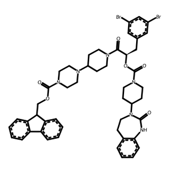 O=C(OCC1c2ccccc2-c2ccccc21)N1CCN(C2CCN(C(=O)[C@@H](Cc3cc(Br)cc(Br)c3)OC(=O)N3CCC(N4CCc5ccccc5NC4=O)CC3)CC2)CC1